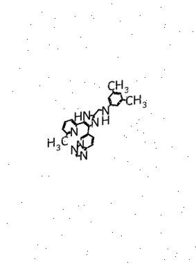 Cc1cc(C)cc(NCc2nc(-c3ccc4ncnn4c3)c(-c3cccc(C)n3)[nH]2)c1